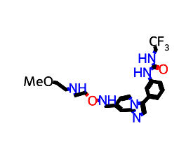 COCCNCCONCc1ccn2c(-c3cccc(NC(=O)NCC(F)(F)F)c3)cnc2c1